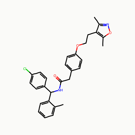 Cc1ccccc1C(NC(=O)Cc1ccc(OCCc2c(C)noc2C)cc1)c1ccc(Cl)cc1